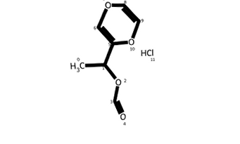 CC(OC=O)C1=COC=CO1.Cl